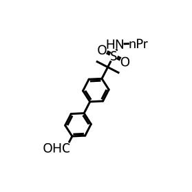 CCCNS(=O)(=O)C(C)(C)c1ccc(-c2ccc(C=O)cc2)cc1